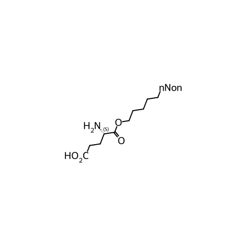 CCCCCCCCCCCCCCOC(=O)[C@@H](N)CCC(=O)O